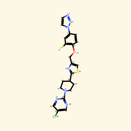 Fc1cc(-n2ccnn2)ccc1OCc1csc(C2CCN(c3ncc(Cl)cn3)CC2)n1